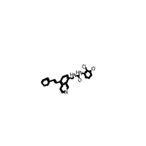 O=C(NCc1ccc(C=Cc2ccccc2)c2ccncc12)Nc1cccc(Cl)c1Cl